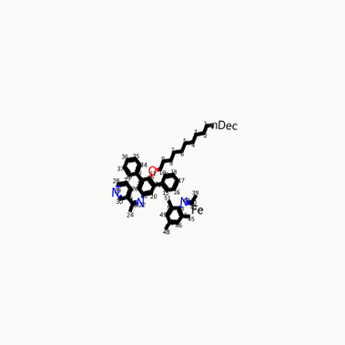 CCCCCCCCCCCCCCCCCCCCOc1c(-c2ccccc2)cc(N=C(C)c2cccnc2)cc1-c1ccccc1.C[C]([Fe])=Nc1c(C)cc(C)cc1C